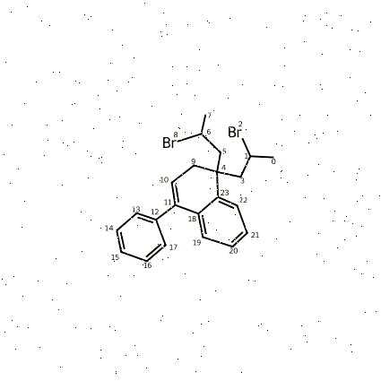 CC(Br)CC1(CC(C)Br)CC=C(c2ccccc2)c2ccccc21